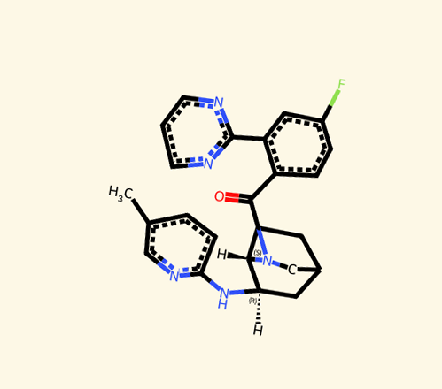 Cc1ccc(N[C@@H]2CC3CC[C@@H]2N(C(=O)c2ccc(F)cc2-c2ncccn2)C3)nc1